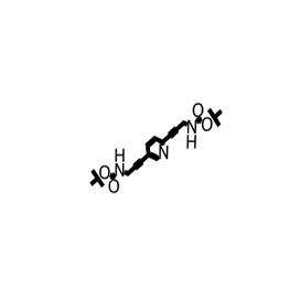 CC(C)(C)OC(=O)NCC#Cc1ccc(C#CCNC(=O)OC(C)(C)C)nc1